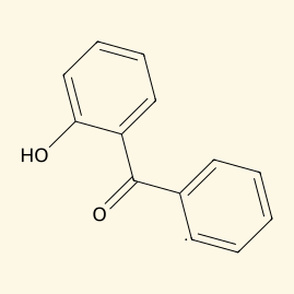 O=C(c1[c]cccc1)c1ccccc1O